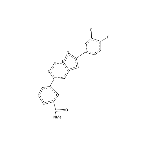 CNC(=O)c1cccc(-c2cc3cc(-c4ccc(F)c(F)c4)nn3cn2)c1